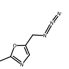 Cc1ncc(CN=[N+]=[N-])o1